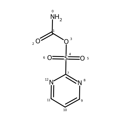 NC(=O)OS(=O)(=O)c1ncccn1